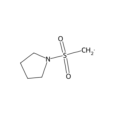 [CH2]S(=O)(=O)N1CCCC1